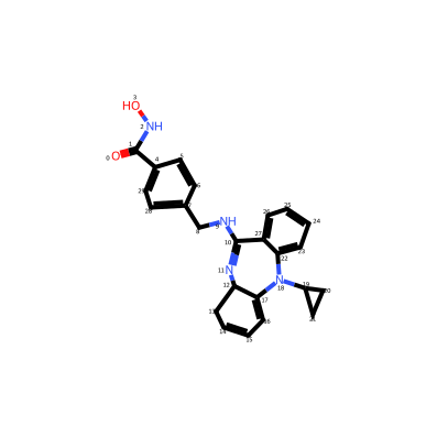 O=C(NO)c1ccc(CNC2=NC3CC=CC=C3N(C3CC3)c3ccccc32)cc1